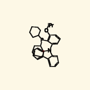 CC(C)Oc1cccc(-n2c3ccccc3c3ccccc32)c1P(C1CCCCC1)C1CCCCC1